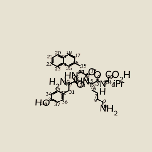 CC(C)[C@H](NC(=O)[C@H](CCCCN)NC(=O)[C@@H](Cc1ccc2ccccc2c1)NC(=O)[C@@H](N)Cc1ccc(O)cc1)C(=O)O